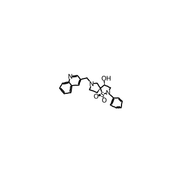 O=S1(=O)N(c2ccccc2)C[C@H](O)[C@]12CCN(Cc1cnc3ccccc3c1)C2